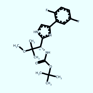 COC(C)(C)[C@@H](NC(=O)OC(C)(C)C)c1nc(-c2cc(F)ccc2F)c[nH]1